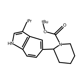 CC(C)c1c[nH]c2ccc(C3CCCCN3C(=O)OC(C)(C)C)cc12